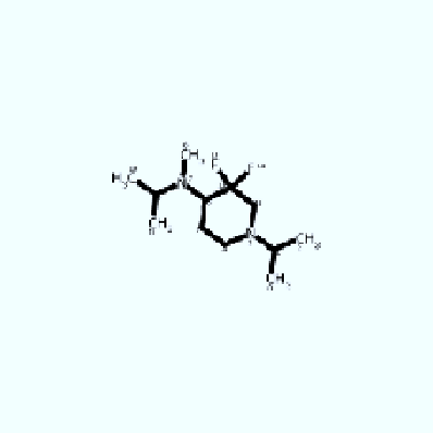 CC(C)N1CCC(N(C)C(C)C)C(F)(F)C1